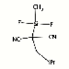 CC(C)CC(C#N)(C#N)[Si](C)(F)F